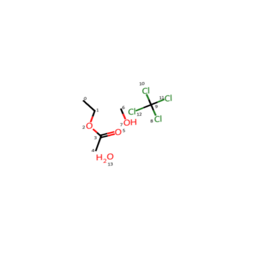 CCOC(C)=O.CO.ClC(Cl)(Cl)Cl.O